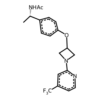 CC(=O)N[C@@H](C)c1ccc(OC2CN(c3cc(C(F)(F)F)ccn3)C2)cc1